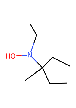 CCN(O)C(C)(CC)CC